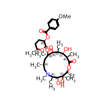 CC[C@H]1OC(=O)[C@H](C)[C@@H](O)[C@H](C)[C@@H](O[C@@H]2O[C@H](C)CC[C@H]2OC(=O)c2ccc(OC)cc2)[C@](C)(O)C[C@@H](C)CN(C)[C@H](C)[C@@H](O)[C@]1(C)O